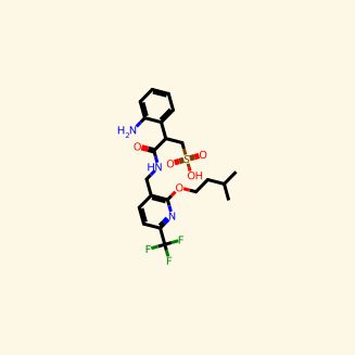 CC(C)CCOc1nc(C(F)(F)F)ccc1CNC(=O)C(CS(=O)(=O)O)c1ccccc1N